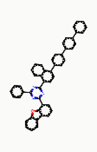 c1ccc(-c2ccc(-c3ccc(-c4ccc(-c5nc(-c6ccccc6)nc(-c6cccc7c6oc6ccccc67)n5)c5ccccc45)cc3)cc2)cc1